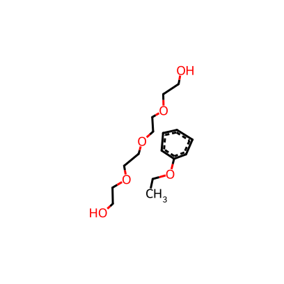 CCOc1ccccc1.OCCOCCOCCOCCO